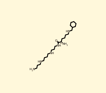 NCCCNCCCCNCCCNC(=O)[C@H](N)CCCCNCC1CCCCC1